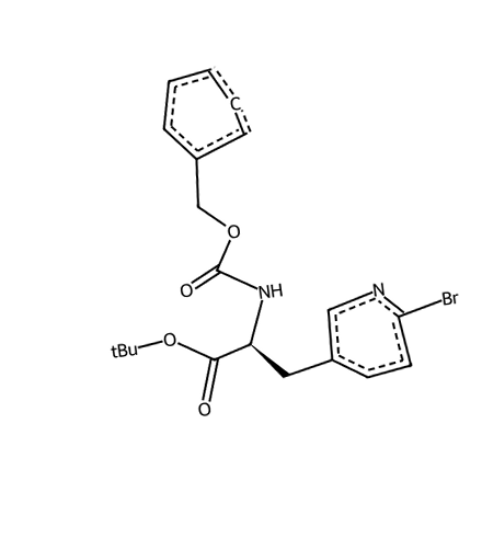 CC(C)(C)OC(=O)[C@H](Cc1ccc(Br)nc1)NC(=O)OCc1ccccc1